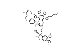 CCCCCOc1c2c(c(OCCC[C@@H](C)C(C)CCC)c(OC)c1OC)C(c1ccccc1)N[C@@H](CCCC(C#N)(c1ccc(OC)c(OC)c1)C(C)C)C2